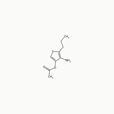 CCCc1scc(OC(C)=O)c1N